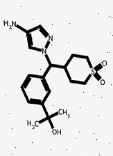 CC(C)(O)c1cccc(C(C2CCS(=O)(=O)CC2)n2cc(N)cn2)c1